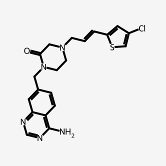 Nc1ncnc2cc(CN3CCN(CC=Cc4cc(Cl)cs4)CC3=O)ccc12